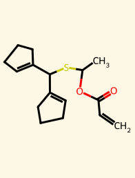 C=CC(=O)OC(C)SC(C1=CCCC1)C1=CCCC1